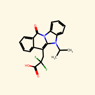 CC(C)n1c2ccccc2n2c(=O)c3ccccc3c(CC(F)(F)C(=O)O)c12